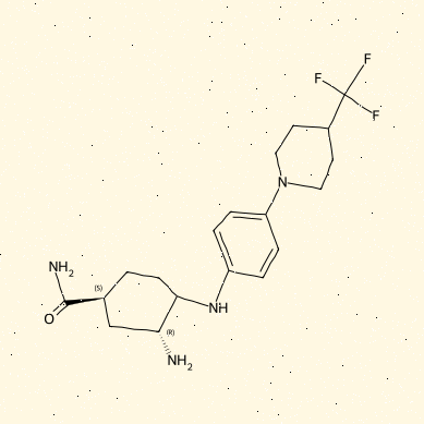 NC(=O)[C@H]1CCC(Nc2ccc(N3CCC(C(F)(F)F)CC3)cc2)[C@H](N)C1